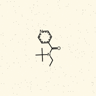 CCN(C(=O)c1ccncc1)C(C)(C)C